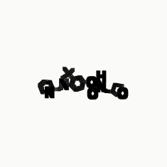 CC1(C)CN(Cc2ccccn2)c2ccc(OC(=O)NCC3CCOC3)cc21